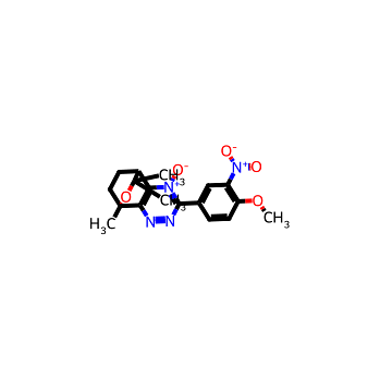 COc1ccc(-c2nnc3c([n+]2[O-])C2CCC3(C)OC2(C)C)cc1[N+](=O)[O-]